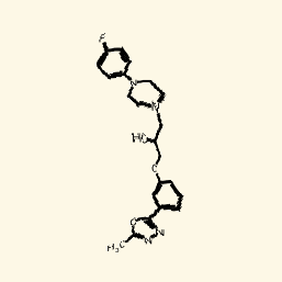 Cc1nnc(-c2cccc(OCC(O)CN3CCN(c4ccc(F)cc4)CC3)c2)o1